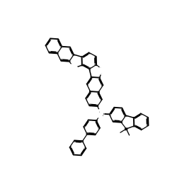 CC1(C)c2ccccc2-c2ccc(N(c3ccc(-c4ccccc4)cc3)c3ccc4cc5c(cc4c3)sc3ccc4c6cc7ccccc7cc6sc4c35)cc21